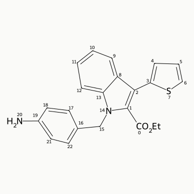 CCOC(=O)c1c(-c2cccs2)c2ccccc2n1Cc1ccc(N)cc1